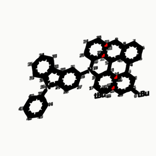 CC(C)(C)c1cc(-c2cccc3cccc(-c4ccccc4N(c4ccccc4)c4ccc5c(c4)c4ccccc4n5-c4ccccc4)c23)cc(C(C)(C)C)c1